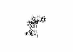 CC(C)(C)[Si](C)(C)OCCC(O)C1CCCN1C(=O)C1CCCN1C(=O)NCc1ccccc1